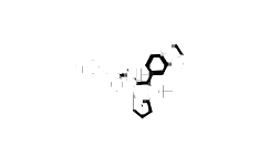 CCCCCCCCC(=O)N[C@@H](CN1CCCC1)[C@@H](O)c1ccc2c(c1)OCCO2